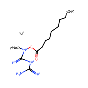 CCCCCCCCCCCCCCCCCC(=O)ON(CCCCCC)C(=N)NC(=N)N.[KH]